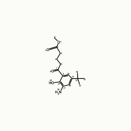 COC(=O)CCCC(=O)c1cc(C(C)(C)C)cc(N)c1O